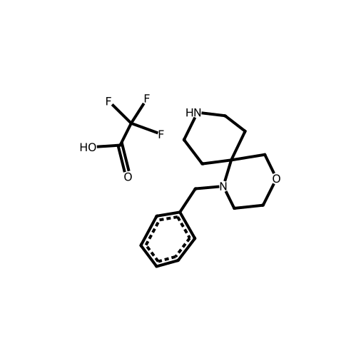 O=C(O)C(F)(F)F.c1ccc(CN2CCOCC23CCNCC3)cc1